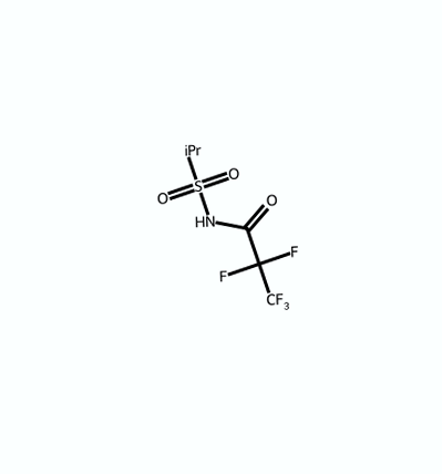 CC(C)S(=O)(=O)NC(=O)C(F)(F)C(F)(F)F